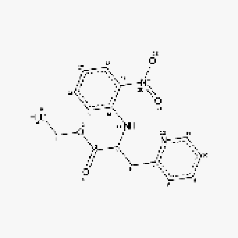 CCOC(=O)C(Cc1ccccn1)Nc1ccccc1[N+](=O)[O-]